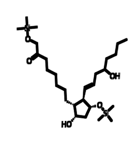 CCCCC(O)C/C=C/[C@@H]1[C@@H](CCCCCCC(=O)CO[Si](C)(C)C)[C@@H](O)C[C@H]1O[Si](C)(C)C